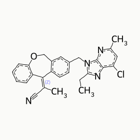 CCc1nc2c(Cl)cc(C)nc2n1Cc1ccc2c(c1)COc1ccccc1/C2=C(/C)C#N